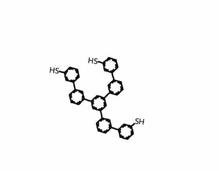 Sc1cccc(-c2cccc(-c3cc(-c4cccc(-c5cccc(S)c5)c4)cc(-c4cccc(-c5cccc(S)c5)c4)c3)c2)c1